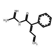 C=C/C=C(/C(=O)NC(=N)N)c1ccccc1